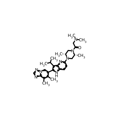 Cc1c(-c2[nH]c3ccc(N4C[C@@H](C)N(C(=O)CN(C)C)C[C@H]4C)nc3c2C(C)C)cn2ncnc2c1C